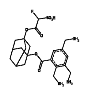 BCc1cc(CB)c(CB)c(C(=O)OC23CC4CC(C2)CC(OC(=O)C(F)S(=O)(=O)O)(C4)C3)c1